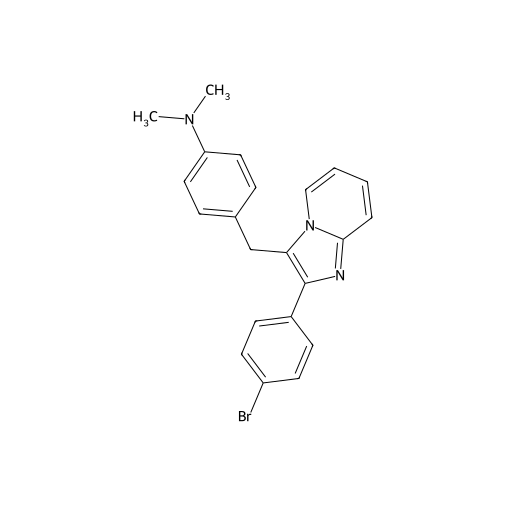 CN(C)c1ccc(Cc2c(-c3ccc(Br)cc3)nc3ccccn23)cc1